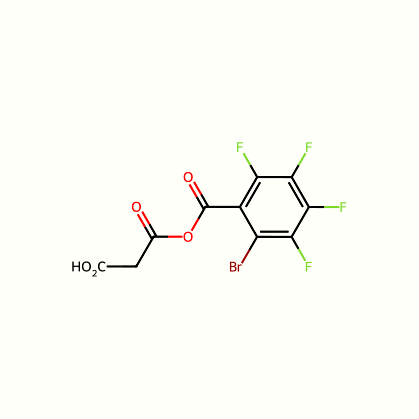 O=C(O)CC(=O)OC(=O)c1c(F)c(F)c(F)c(F)c1Br